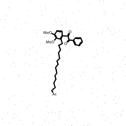 COc1ccc(C(=O)C(=O)c2ccccc2)c(CCCCCCCCCCCCCCC(C)=O)c1OC